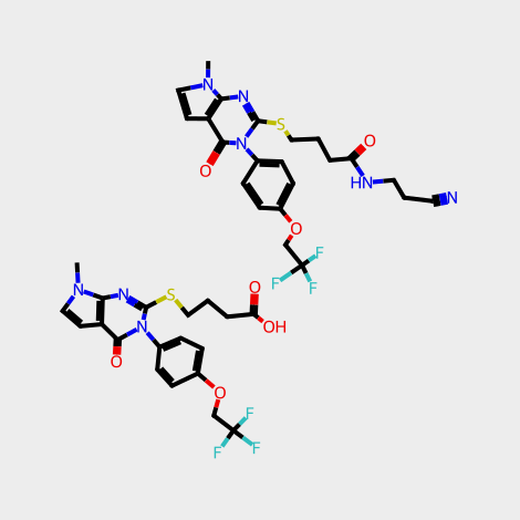 Cn1ccc2c(=O)n(-c3ccc(OCC(F)(F)F)cc3)c(SCCCC(=O)NCCC#N)nc21.Cn1ccc2c(=O)n(-c3ccc(OCC(F)(F)F)cc3)c(SCCCC(=O)O)nc21